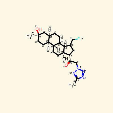 Cc1nnn(CC(=O)[C@H]2CC(CF)[C@H]3[C@@H]4CC[C@@H]5C[C@](C)(O)CC[C@@H]5[C@H]4CC[C@]23C)n1